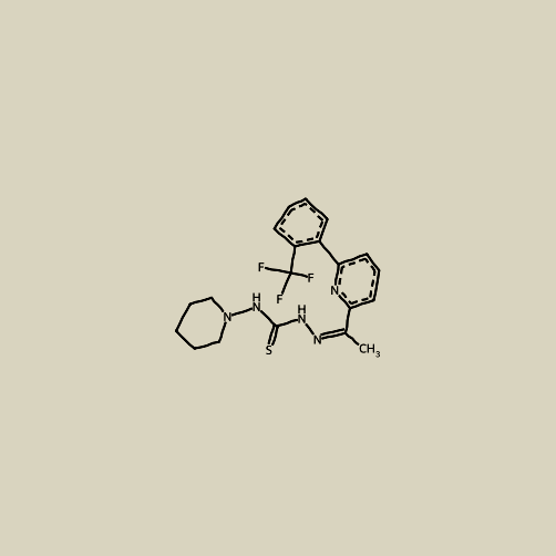 CC(=NNC(=S)NN1CCCCC1)c1cccc(-c2ccccc2C(F)(F)F)n1